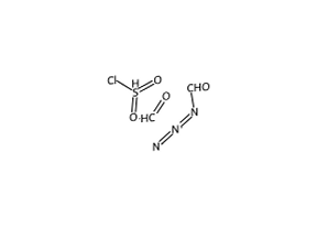 O=[SH](=O)Cl.[CH]=O.[N-]=[N+]=NC=O